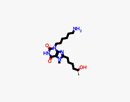 C[C@@H](O)CCCCc1nc2c(c(=O)[nH]c(=O)n2CCCCCCN)n1C